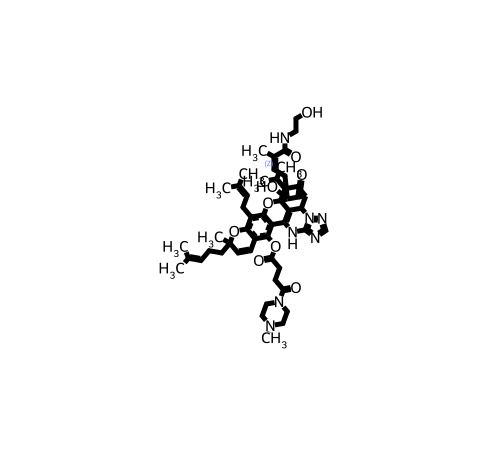 CC(C)=CCCC1(C)C=Cc2c(c(CC=C(C)C)c3c(c2OC(=O)CCC(=O)N2CCN(C)CC2)C2=C4C(C5CC(C(C)C)C4(O3)C(O)(C/C=C(/C)C(=O)NCCO)C5=O)n3ncnc3N2)O1